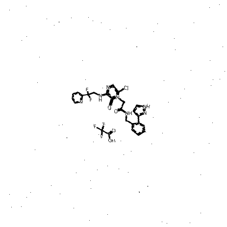 O=C(Cn1c(Cl)cnc(NCC(F)(F)c2ccccn2)c1=O)NCc1ccccc1-c1cc[nH]n1.O=C(O)C(F)(F)F